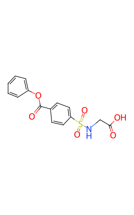 O=C(O)CNS(=O)(=O)c1ccc(C(=O)Oc2ccccc2)cc1